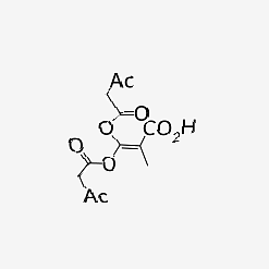 CC(=O)CC(=O)OC(OC(=O)CC(C)=O)=C(C)C(=O)O